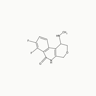 CNC1COCc2[nH]c(=O)c3c(F)c(F)ccc3c21